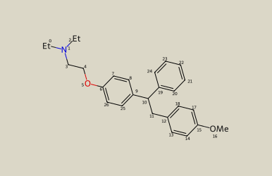 CCN(CC)CCOc1ccc(C(Cc2ccc(OC)cc2)c2ccccc2)cc1